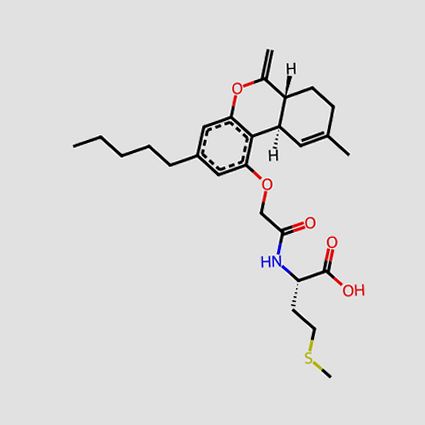 C=C1Oc2cc(CCCCC)cc(OCC(=O)N[C@@H](CCSC)C(=O)O)c2[C@@H]2C=C(C)CC[C@@H]12